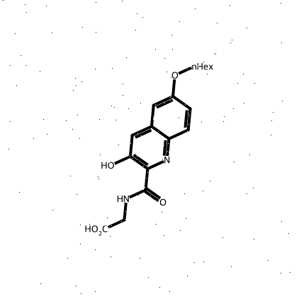 CCCCCCOc1ccc2nc(C(=O)NCC(=O)O)c(O)cc2c1